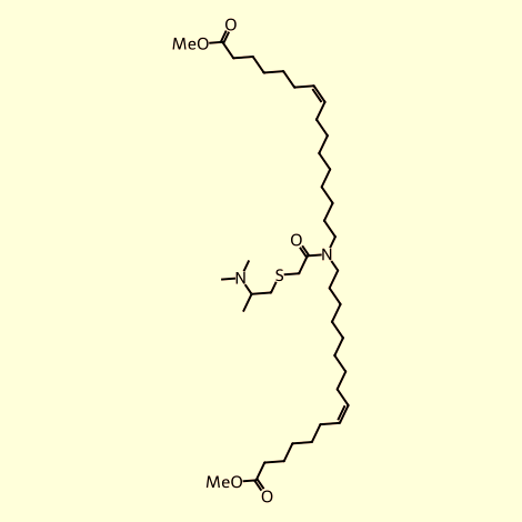 COC(=O)CCCCC/C=C\CCCCCCCCN(CCCCCCCC/C=C\CCCCCC(=O)OC)C(=O)CSCC(C)N(C)C